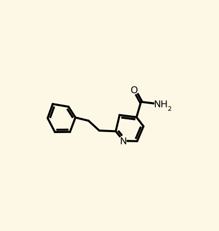 NC(=O)c1ccnc(CCc2ccccc2)c1